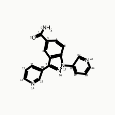 NC(=O)c1ccc2c(c1)c(-c1cccnc1)nn2-c1cccnc1